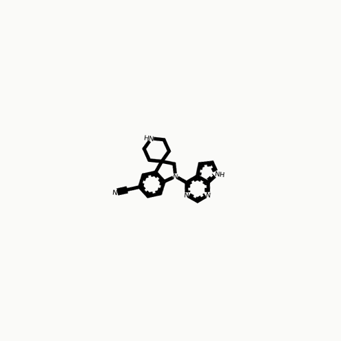 N#Cc1ccc2c(c1)C1(CCNCC1)CN2c1ncnc2[nH]ccc12